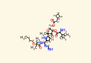 CCCCOC(C)(C)C(=O)N/C(=N/C=N)c1ccc([C@]2(C)O[C@H](COC(=O)CC3CCC3)[C@@H](OC(=O)[C@H](N)C(C)C)[C@H]2O)[nH]1